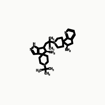 CC(C)(C)N1CCC2(CC1)c1cn[nH]c1C(CC(C)(C)N1CCC3(CC1)c1ncccc1C[C@H]3N)[C@H]2N